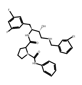 CCc1cccc(CNC[C@@H](O)[C@H](Cc2cc(F)cc(F)c2)NC(=O)C2CCCN2C(=O)Nc2ccccc2)c1